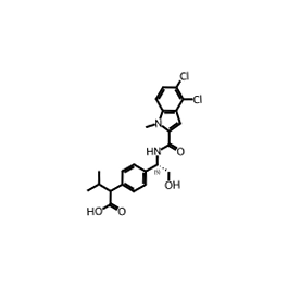 CC(C)C(C(=O)O)c1ccc([C@@H](CO)NC(=O)c2cc3c(Cl)c(Cl)ccc3n2C)cc1